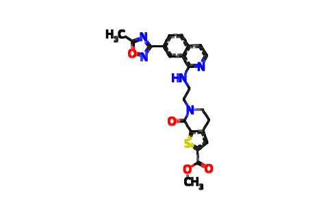 COC(=O)c1cc2c(s1)C(=O)N(CCNc1nccc3ccc(-c4noc(C)n4)cc13)CC2